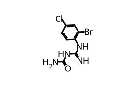 N=C(NC(N)=O)Nc1ccc(Cl)cc1Br